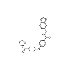 O=C(NCc1ccn2ccnc2c1)c1ccc(OC2CCN(C(=O)[C@@H]3CCCO3)CC2)cc1